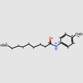 CCCCCCCCCCCCCCCCCC(=O)Nc1ccc(C=O)cc1